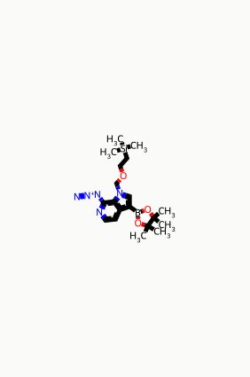 CC1(C)OB(c2cn(COCC[Si](C)(C)C)c3c(N=[N+]=[N-])nccc23)OC1(C)C